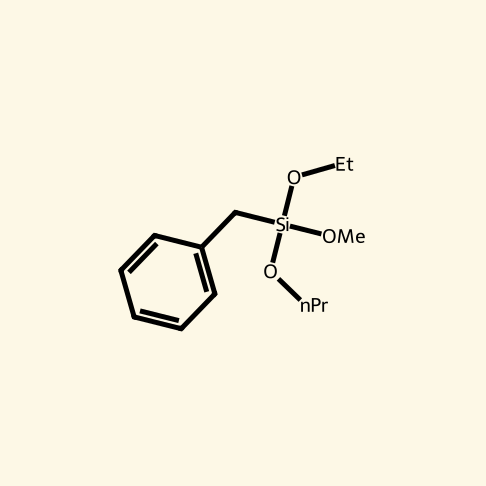 CCCO[Si](Cc1ccccc1)(OC)OCC